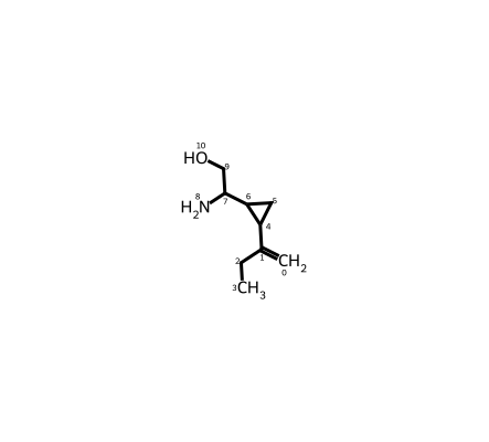 C=C(CC)C1CC1C(N)CO